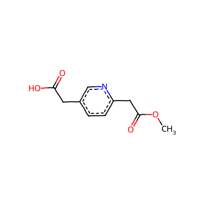 COC(=O)Cc1ccc(CC(=O)O)cn1